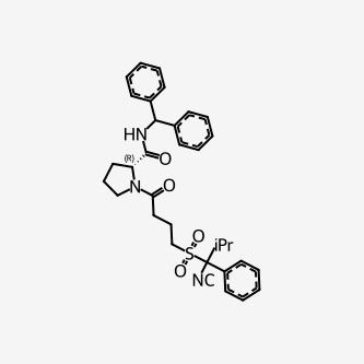 CC(C)C(C#N)(c1ccccc1)S(=O)(=O)CCCC(=O)N1CCC[C@@H]1C(=O)NC(c1ccccc1)c1ccccc1